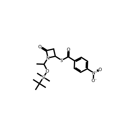 CC(O[Si](C)(C)C(C)(C)C)N1C(=O)CC1SC(=O)c1ccc([N+](=O)[O-])cc1